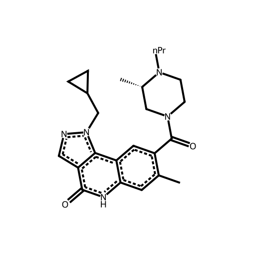 CCCN1CCN(C(=O)c2cc3c(cc2C)[nH]c(=O)c2cnn(CC4CC4)c23)C[C@@H]1C